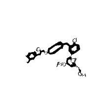 Cc1ccc2c(c1)CC(COc1ccc(Cc3cc([C@H]4C[C@@H](O)C[C@@H](CO)O4)ccc3Cl)cc1)O2